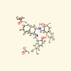 CC(=O)[O-].CC(=O)[O-].Cc1cc(CC(C)(C)C)cc(C=Nc2cc3ccccc3cc2N=Cc2cc(CC(C)(C)C)cc(C)c2O)c1O.[Co+2]